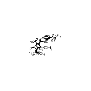 CNS(=O)(=O)c1ncn2cc(C3=C(C(=O)O)N4C(=O)[C@H]([C@@H](C)O)[C@H]4[C@H]3C)sc12